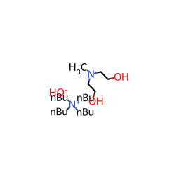 CCCC[N+](CCCC)(CCCC)CCCC.CN(CCO)CCO.[OH-]